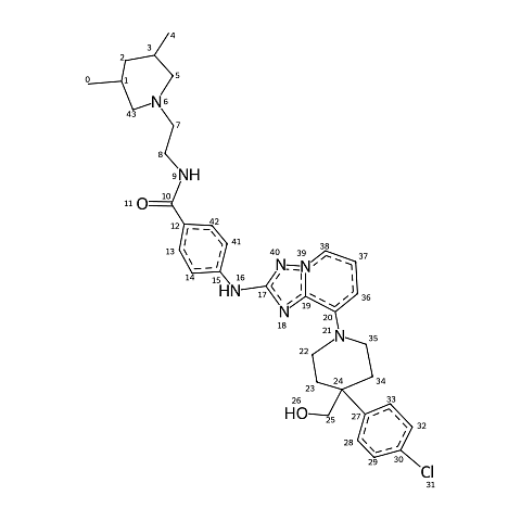 CC1CC(C)CN(CCNC(=O)c2ccc(Nc3nc4c(N5CCC(CO)(c6ccc(Cl)cc6)CC5)cccn4n3)cc2)C1